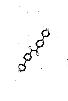 O=C(C(=O)c1ccc(-c2ccncc2)cc1)c1ccc(-c2ccncc2)cc1